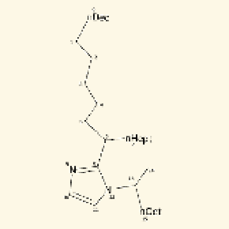 CCCCCCCCCCCCCCCC(CCCCCCC)c1nccn1C(C)CCCCCCCC